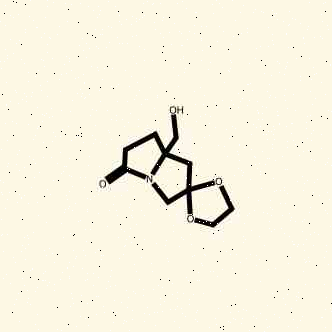 O=C1CCC2(CO)CC3(CN12)OCCO3